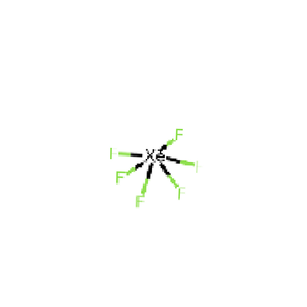 F[Xe](F)(F)(F)(F)F